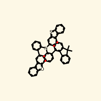 CC1(C)c2ccccc2-c2c(-c3ccccc3N(c3ccc4c(c3)sc3ccccc34)c3ccccc3-c3ccc4oc5ccccc5c4c3)cccc21